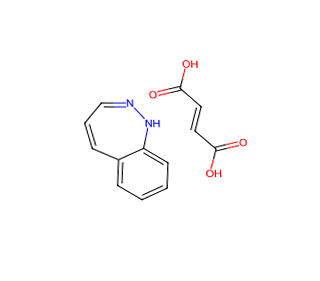 C1=Cc2ccccc2NN=C1.O=C(O)/C=C/C(=O)O